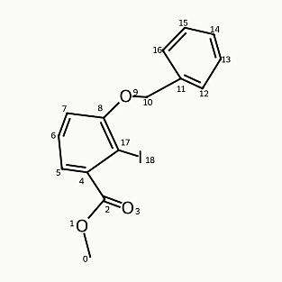 COC(=O)c1cccc(OCc2ccccc2)c1I